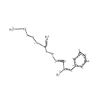 COCCOC(=O)CON=CC(C)=Cc1ccccc1